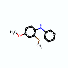 COc1ccc(Nc2ccccc2)c(SC)c1